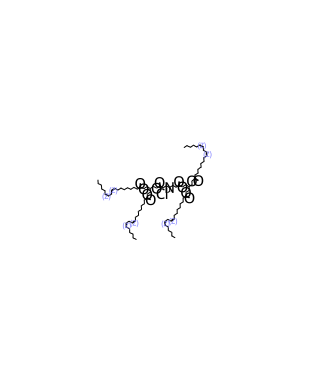 CCCCC/C=C\C/C=C\CCCCCCCC(=O)OCC(COC(=O)CCCCCCC/C=C\C/C=C\CCCCC)COC(=O)CCN(CCl)CCC(=O)OCC(COC(=O)CCCCCCC/C=C\C/C=C\CCCCC)COC(=O)CCCCCCC/C=C\C/C=C\CCCCC